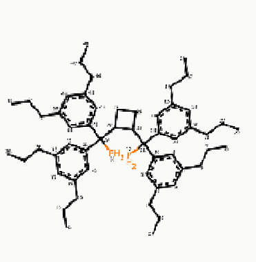 CCCc1cc(CCC)cc(C(P)(c2cc(CCC)cc(CCC)c2)C2CCC2C(P)(c2cc(CCC)cc(CCC)c2)c2cc(CCC)cc(CCC)c2)c1